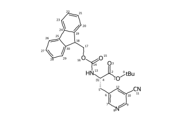 CC(C)(C)OC(=O)[C@H](Cc1cncc(C#N)c1)NC(=O)OCC1c2ccccc2-c2ccccc21